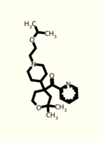 CC(C)OCCN1CCC(C2(C(=O)c3ccccn3)CCOC(C)(C)C2)CC1